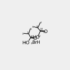 Br.CC(C)C(=O)O.CC(C)C(=O)O